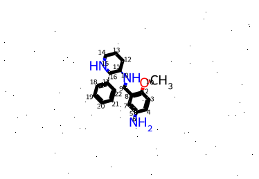 COc1ccc(N)cc1CN[C@H]1CCCN[C@H]1c1ccccc1